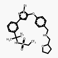 CCn1nc(-c2cccc(C(C)(C)NS(=O)(=O)CC(F)(F)F)c2)cc1Oc1ccc(CNCC2CCCO2)cc1